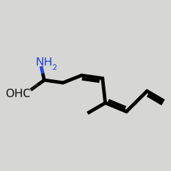 C=C/C=C(C)\C=C/CC(N)C=O